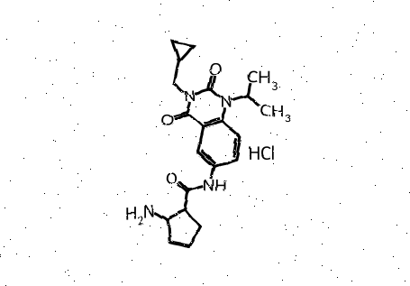 CC(C)n1c(=O)n(CC2CC2)c(=O)c2cc(NC(=O)C3CCCC3N)ccc21.Cl